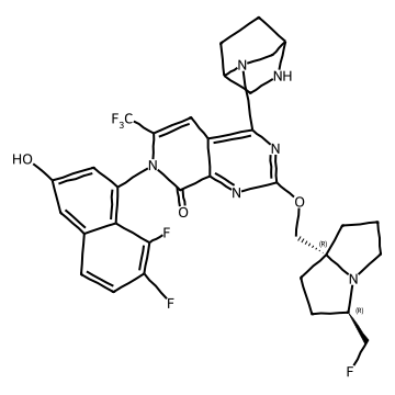 O=c1c2nc(OC[C@]34CCCN3[C@@H](CF)CC4)nc(N3CC4CCC3CN4)c2cc(C(F)(F)F)n1-c1cc(O)cc2ccc(F)c(F)c12